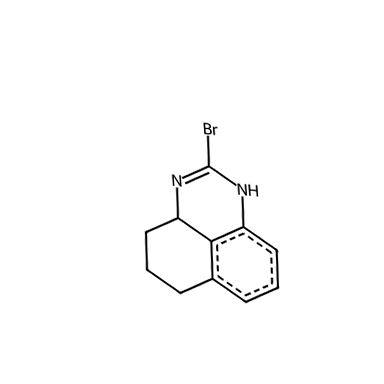 BrC1=NC2CCCc3cccc(c32)N1